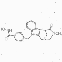 CN1CN2Cc3c(c4ccccc4n3Cc3ccc(C(=O)NO)cc3)C(C2)C1=O